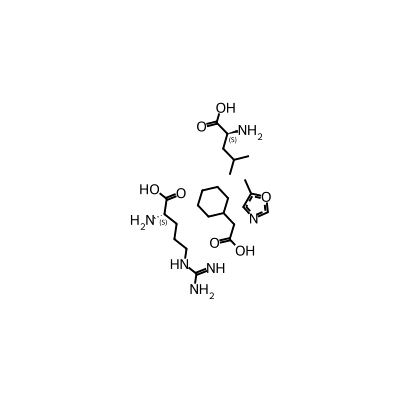 CC(C)C[C@H](N)C(=O)O.Cc1cnco1.N=C(N)NCCC[C@H](N)C(=O)O.O=C(O)CC1CCCCC1